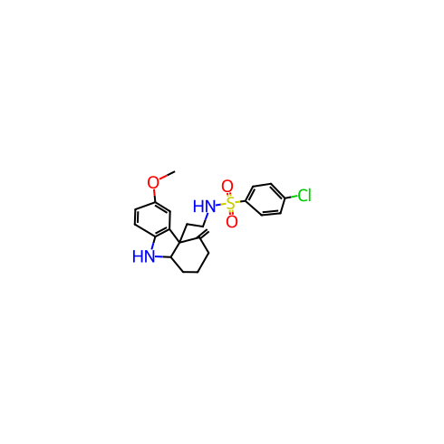 C=C1CCCC2Nc3ccc(OC)cc3C12CCNS(=O)(=O)c1ccc(Cl)cc1